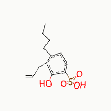 C=CCc1c(CCCC)ccc(S(=O)(=O)O)c1O